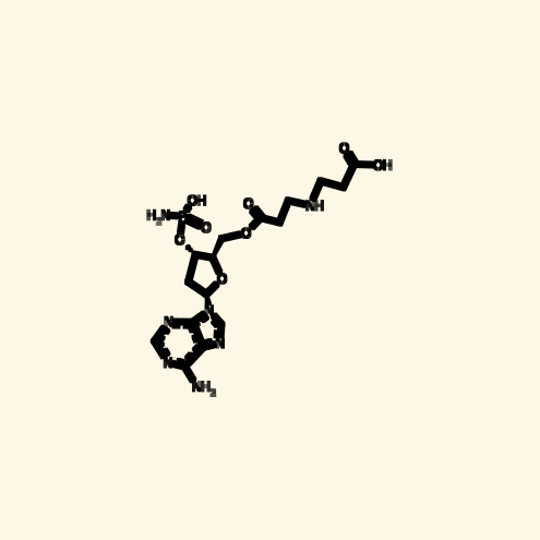 Nc1ncnc2c1ncn2[C@H]1C[C@H](OP(N)(=O)O)[C@@H](COC(=O)CCNCCC(=O)O)O1